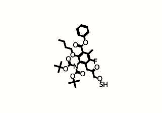 CCCCOc1c(C(=O)Oc2ccccc2)c(C)c(F)c(CC(=O)COS)c1N(C(=O)OC(C)(C)C)C(=O)OC(C)(C)C